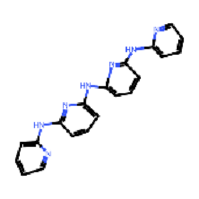 c1ccc(Nc2cccc(Nc3cccc(Nc4ccccn4)n3)n2)nc1